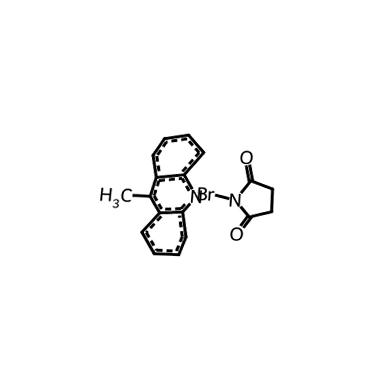 Cc1c2ccccc2nc2ccccc12.O=C1CCC(=O)N1Br